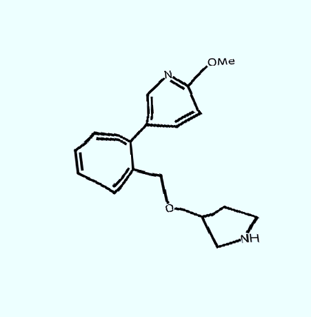 COc1ccc(-c2ccccc2COC2CCNC2)cn1